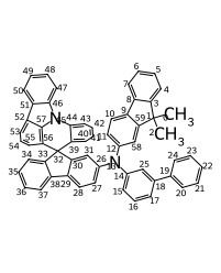 CC1(C)c2ccccc2-c2ccc(N(c3cccc(-c4ccccc4)c3)c3ccc4c(c3)C3(c5ccccc5-4)c4ccccc4-n4c5ccccc5c5cccc3c54)cc21